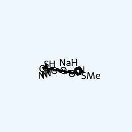 CSc1cc(OCCOCCOCC(N=[N+]=[N-])C(=O)S)ccn1.[NaH]